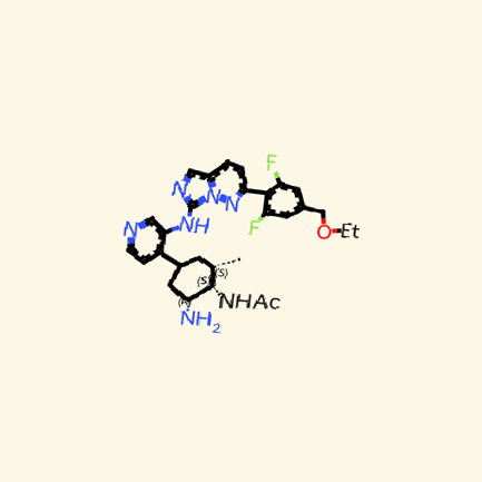 CCOCc1cc(F)c(-c2ccc3cnc(Nc4cnccc4C4C[C@@H](N)[C@@H](NC(C)=O)[C@@H](C)C4)n3n2)c(F)c1